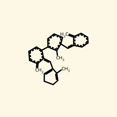 C=c1cccc/c1=C/c1cccc(-c2cccc(=C)/c2=C\C2=CCCC=C2C)c1C